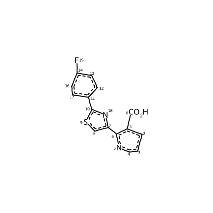 O=C(O)c1cccnc1-c1csc(-c2ccc(F)cc2)n1